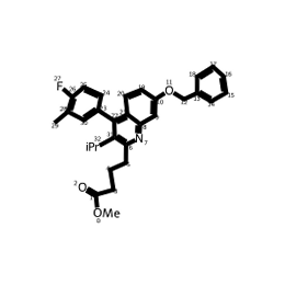 COC(=O)CCCc1nc2cc(OCc3ccccc3)ccc2c(-c2ccc(F)c(C)c2)c1C(C)C